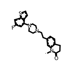 [CH2]N1C(=O)CCc2ccc(CCN3CCN(c4cc(F)cc5sccc45)CC3)cc21